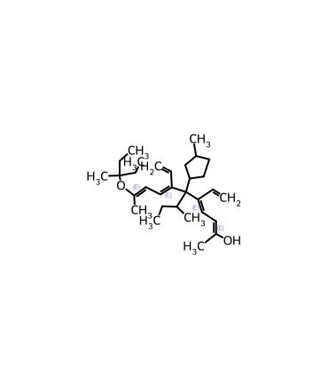 C=C/C(=C\C=C(/C)O)C(/C(C=C)=C/C=C(\C)OC(C)(CC)CC)(C(C)CC)C1CCC(C)C1